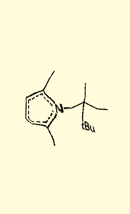 Cc1ccc(C)n1C(C)(C)C(C)(C)C